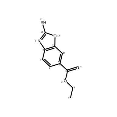 CCOC(=O)c1ccc2nc(S)oc2c1